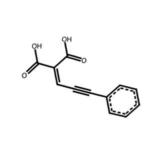 O=C(O)C(=CC#Cc1ccccc1)C(=O)O